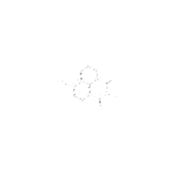 CC(C)N1C(=O)c2cccc3c(N)ccc(c23)C1=O